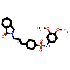 COc1ccc(NS(=O)(=O)c2ccc(/C=C/CN3Cc4ccccc4C3=O)cc2)cc1OC